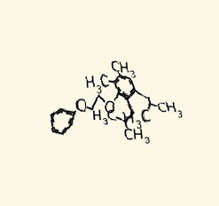 Cc1cc(CC(C)C)c(CC(C)C)c(OCCOc2ccccc2)c1C